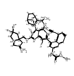 C#Cc1cccc2cc(NC(=O)OC(C)(C)C)cc(-c3nc4c5c(nc(OCC67CC(=C)CN6CC(F)(F)C7)nc5c3F)N3CC5CCC(C3C(C)O4)N5C(=O)O)c12